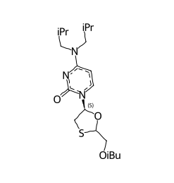 CC(C)COCC1O[C@H](n2ccc(N(CC(C)C)CC(C)C)nc2=O)CS1